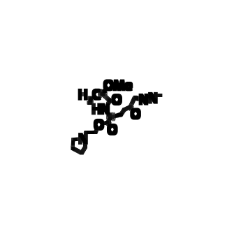 CO[C@H](C)C(=O)N[C@@H](CCC(=O)C=[N+]=[N-])C(=O)OCCN1CCCC1